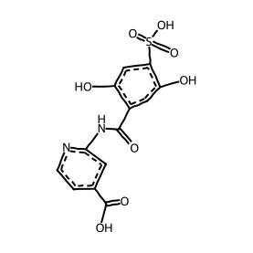 O=C(O)c1ccnc(NC(=O)c2cc(O)c(S(=O)(=O)O)cc2O)c1